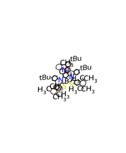 CC(C)(C)c1ccc(N2c3cc(N4c5ccc(C(C)(C)C)cc5C5(C)CCCCC45C)cc4c3B(c3sc5cc6c(cc5c32)C(C)(C)CCC6(C)C)c2sc3cc5c(cc3c2N4c2ccc(C(C)(C)C)cc2-c2ccccc2)C(C)(C)CCC5(C)C)c(-c2ccccc2)c1